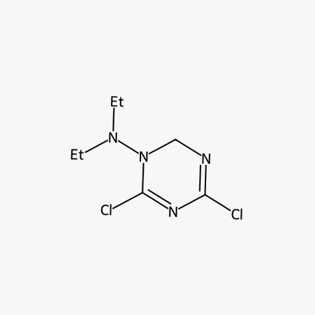 CCN(CC)N1CN=C(Cl)N=C1Cl